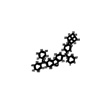 c1ccc(N(c2ccc(C34CC5CC6CC(C3)C654)cc2)c2ccc3c(c2)oc2ccc(N(c4ccccc4)c4ccccc4)cc23)cc1